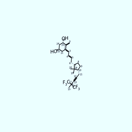 C=C1/C(=C/C=C/C[C@@H]2CC[C@H](CC#CC(C)(C(F)(F)F)C(F)(F)F)C2(C)C)C[C@@H](O)C[C@@H]1O